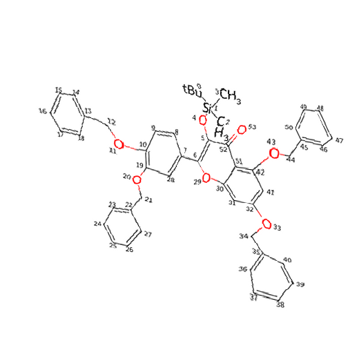 CC(C)(C)[Si](C)(C)Oc1c(-c2ccc(OCc3ccccc3)c(OCc3ccccc3)c2)oc2cc(OCc3ccccc3)cc(OCc3ccccc3)c2c1=O